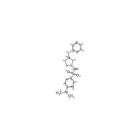 CN(C)c1ccc(S(=O)(=O)NC2CCN(Cc3ccccc3)C2)cn1